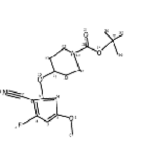 COc1cc(F)c(C#N)c(OC2CCN(C(=O)OC(C)(C)C)CC2)c1